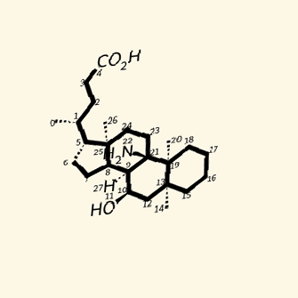 C[C@H](CCC(=O)O)[C@H]1CCC2[C@@H]3[C@H](O)C[C@]4(C)CCCC[C@]4(C)[C@@]3(N)CC[C@@]21C